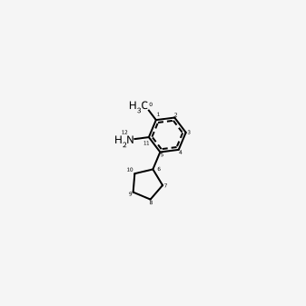 Cc1cccc(C2CCCC2)c1N